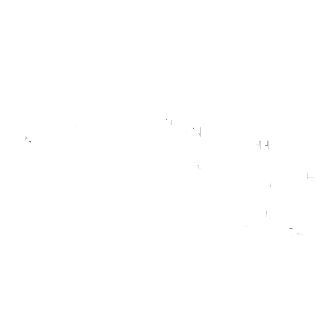 OC1COC(n2cc(COc3cccnc3)nn2)C(O)C1O